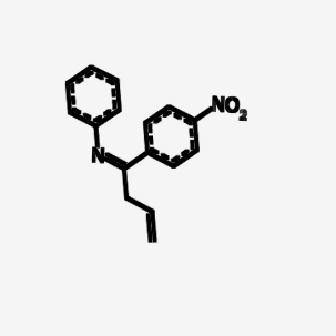 C=CC/C(=N/c1ccccc1)c1ccc([N+](=O)[O-])cc1